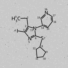 CCc1c(I)nc(SC2CCCC2)n1-c1cccnc1